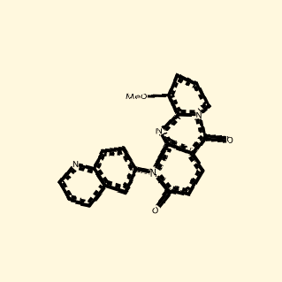 COc1cccn2c(=O)c3ccc(=O)n(-c4ccc5ncccc5c4)c3nc12